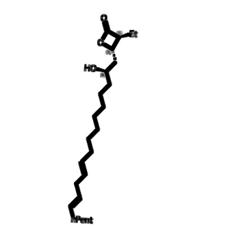 CCCCCC=CCC=CCCCCCCC[C@@H](O)C[C@@H]1OC(=O)[C@H]1CC